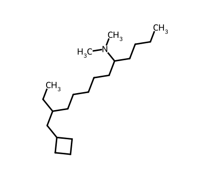 CCCCC(CCCCCC(CC)CC1CCC1)N(C)C